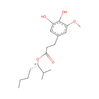 CCCC[C@H](OC(=O)CCc1cc(O)c(O)c(OC)c1)C(C)C